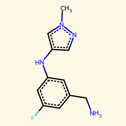 Cn1cc(Nc2cc(F)cc(CN)c2)cn1